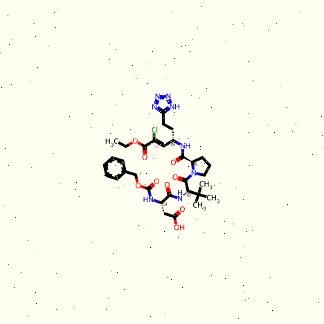 CCOC(=O)/C(Cl)=C/[C@H](CCc1nnn[nH]1)NC(=O)[C@H]1CCCN1C(=O)[C@@H](NC(=O)[C@H](CC(=O)O)NC(=O)OCc1ccccc1)C(C)(C)C